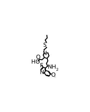 CCCCSCCN1CCC(CCC(N)c2c(F)cnc3ccc(OC)cc23)C(CC(=O)O)C1